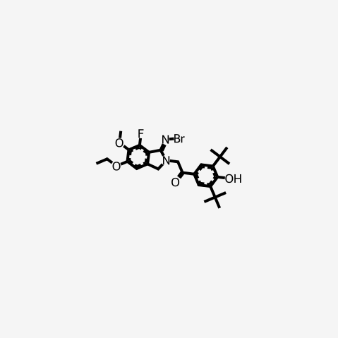 CCOc1cc2c(c(F)c1OC)/C(=N/Br)N(CC(=O)c1cc(C(C)(C)C)c(O)c(C(C)(C)C)c1)C2